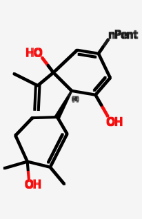 C=C(C)C1(O)C=C(CCCCC)C=C(O)[C@H]1C1C=C(C)C(C)(O)CC1